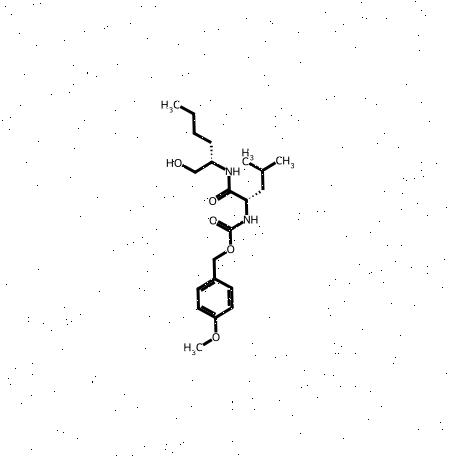 CCCC[C@@H](CO)NC(=O)[C@H](CC(C)C)NC(=O)OCc1ccc(OC)cc1